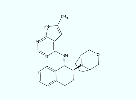 Cc1cc2c(N[C@H]3c4ccccc4CC[C@@H]3N3C4CCC3COC4)ncnc2[nH]1